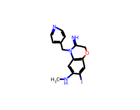 CNc1cc2c(cc1I)OCC(=N)N2Cc1ccncc1